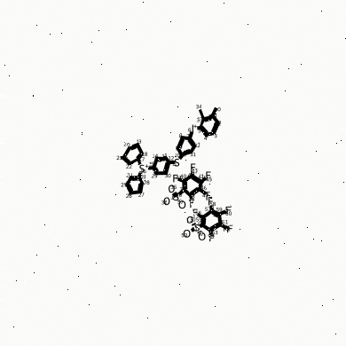 Cc1cccc([I+]c2ccc(Sc3ccc([S+](c4ccccc4)c4ccccc4)cc3)cc2)c1C.O=S(=O)([O-])c1c(F)c(F)c(F)c(F)c1F.O=S(=O)([O-])c1c(F)c(F)c(F)c(F)c1F